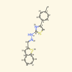 Cc1ccc(-c2csc(NN=Cc3cc4ccccc4s3)n2)cc1